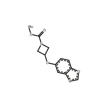 CC(C)(C)OC(=O)N1CC(Oc2ccc3ocnc3c2)C1